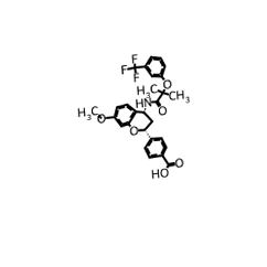 COc1ccc2c(c1)O[C@@H](c1ccc(C(=O)O)cc1)C[C@H]2NC(=O)C(C)(C)Oc1cccc(C(F)(F)F)c1